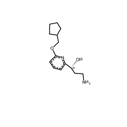 NCC[C@@H](O)c1cccc(OCC2CCCC2)n1